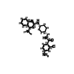 CN(C)c1nc(N[C@H]2CC[C@@H](CNC(=O)c3ccc(N)cc3Cl)CC2)nc2ccccc12